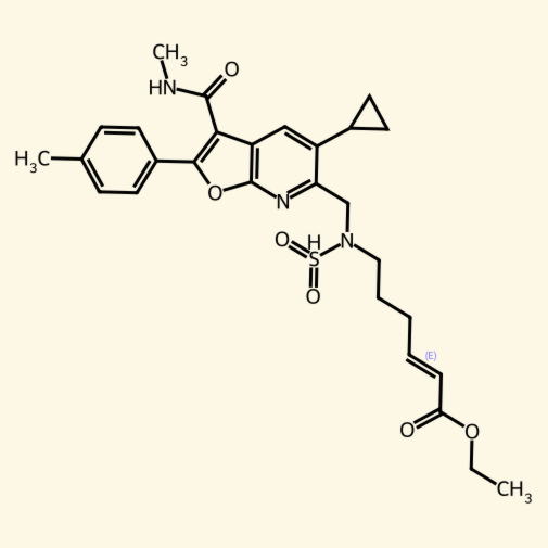 CCOC(=O)/C=C/CCCN(Cc1nc2oc(-c3ccc(C)cc3)c(C(=O)NC)c2cc1C1CC1)[SH](=O)=O